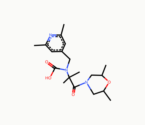 Cc1cc(CN(C(=O)O)C(C)(C)C(=O)N2CC(C)OC(C)C2)cc(C)n1